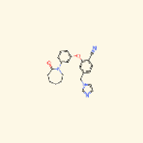 N#Cc1ccc(Cn2ccnc2)cc1Oc1cccc(N2CCCCCC2=O)c1